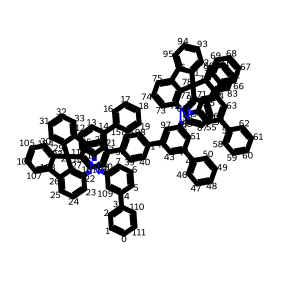 c1ccc(-c2cccc(N(c3cccc(-c4ccccc4)c3)c3cccc4c3C3(c5ccccc5-c5cc(-c6ccc(-c7cc(-c8ccccc8)cc(N(c8cc(-c9ccccc9)cc(-c9ccccc9)c8)c8cccc9c8C8(c%10ccccc%10-c%10ccccc%108)c8ccccc8-9)c7)cc6)ccc53)c3ccccc3-4)c2)cc1